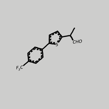 CC(C=O)c1ccc(-c2ccc(C(F)(F)F)cc2)s1